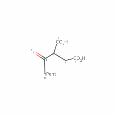 CCCCCC(=O)C(CC(=O)O)C(=O)O